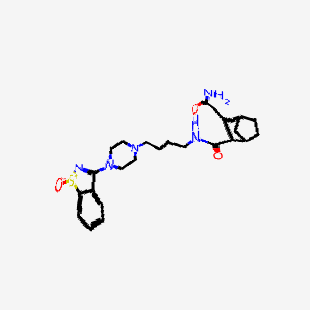 NC(=O)C1C2CCC(C2)C1C(=O)NCCCCN1CCN(c2n[s+]([O-])c3ccccc23)CC1